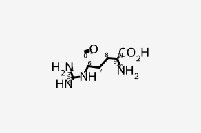 C=O.N=C(N)NCCCC(N)C(=O)O